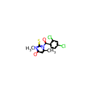 Cc1cc(=O)n(C)c(=S)n1C(=O)c1ccc(Cl)cc1Cl